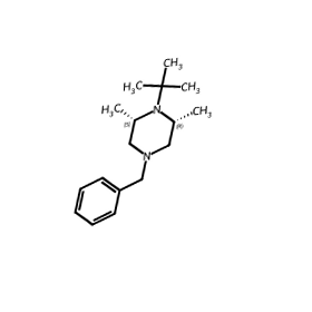 C[C@@H]1CN(Cc2ccccc2)C[C@H](C)N1C(C)(C)C